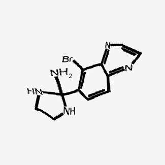 NC1(c2ccc3nccnc3c2Br)NCCN1